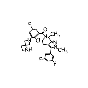 C[C@H]1c2nn(C)c(-c3cc(F)cc(F)c3)c2CCN1C(=O)c1cc(F)cc(N2CC3(CCN3)C2)c1Cl